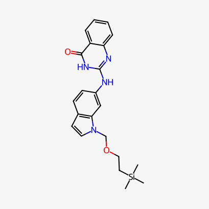 C[Si](C)(C)CCOCn1ccc2ccc(Nc3nc4ccccc4c(=O)[nH]3)cc21